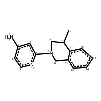 CC1CN(c2cc(N)ccn2)Cc2ccccc21